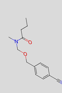 CCCC(=O)N(C)COCc1ccc(C#N)cc1